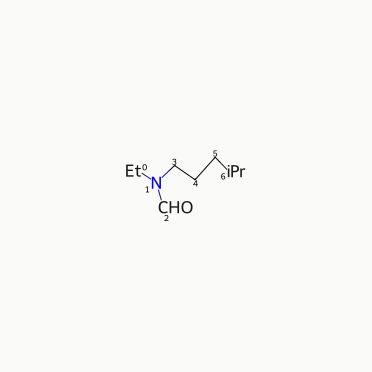 CCN(C=O)CCCC(C)C